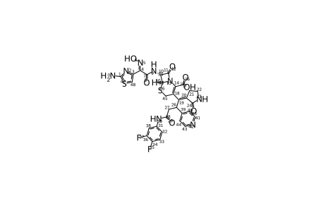 Nc1nc(C(=NO)C(=O)N[C@@H]2C(=O)N3C(C(=O)O)=C(C(=C4CCNC4=O)C(CC(=O)Nc4ccc(F)c(F)c4)c4ccncc4)CS[C@H]23)cs1